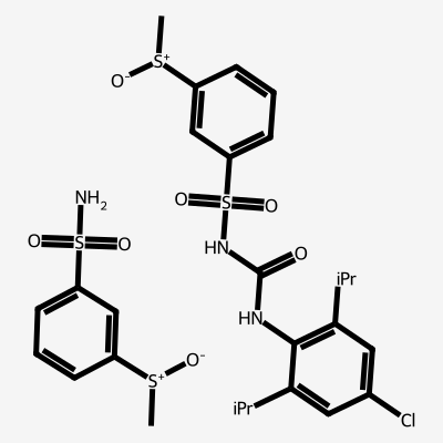 CC(C)c1cc(Cl)cc(C(C)C)c1NC(=O)NS(=O)(=O)c1cccc([S+](C)[O-])c1.C[S+]([O-])c1cccc(S(N)(=O)=O)c1